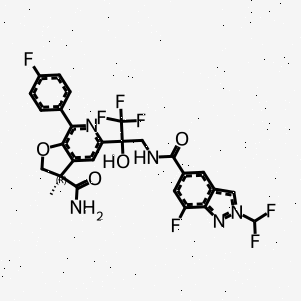 C[C@]1(C(N)=O)COc2c1cc(C(O)(CNC(=O)c1cc(F)c3nn(C(F)F)cc3c1)C(F)(F)F)nc2-c1ccc(F)cc1